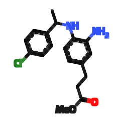 COC(=O)CCc1ccc(NC(C)c2ccc(Cl)cc2)c(N)c1